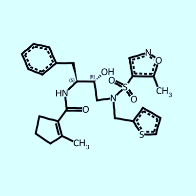 CC1=C(C(=O)N[C@@H](Cc2ccccc2)[C@H](O)CN(Cc2cccs2)S(=O)(=O)c2cnoc2C)CCC1